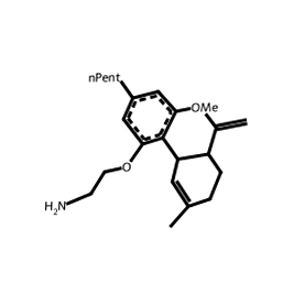 C=C(C)C1CCC(C)=CC1c1c(OC)cc(CCCCC)cc1OCCN